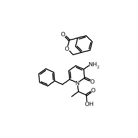 CC(C(=O)O)n1c(Cc2ccccc2)ccc(N)c1=O.O=C1OCc2cccc1c2